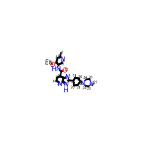 CCOc1cc(C)ncc1NC(=O)c1ccnc2[nH]c(-c3ccc(N4CCN(C)CC4)cc3)nc12